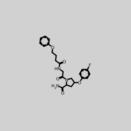 NC(=O)C1CC(Oc2ccc(F)cc2)CN1C(=O)CNC(=O)CCCOc1ccccc1